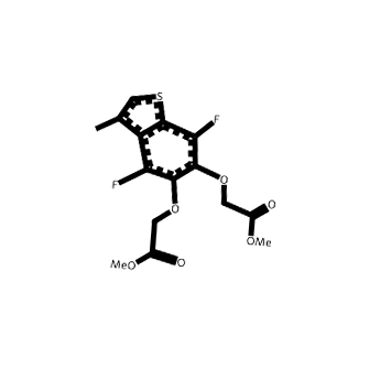 COC(=O)COc1c(OCC(=O)OC)c(F)c2c(C)csc2c1F